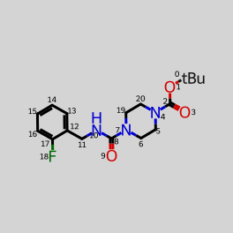 CC(C)(C)OC(=O)N1CCN(C(=O)NCc2ccccc2F)CC1